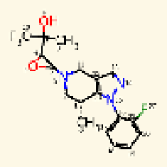 C[C@@H]1CN(C2OC2[C@@](C)(O)C(F)(F)F)Cc2cnn(-c3ccccc3F)c21